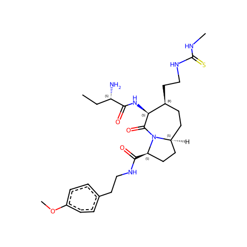 CC[C@H](N)C(=O)N[C@@H]1C(=O)N2[C@@H](CC[C@@H]1CCNC(=S)NC)CC[C@H]2C(=O)NCCc1ccc(OC)cc1